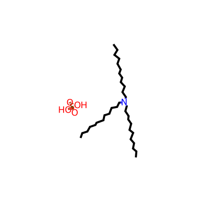 CCCCCCCCCCCCN(CCCCCCCCCCCC)CCCCCCCCCCCC.O=S(=O)(O)O